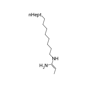 CC=C(N)NCCCCCCCCCCCCCCC